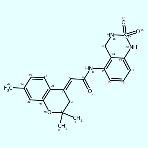 CC1(C)CC(=CC(=O)Nc2cccc3c2CNS(=O)(=O)N3)c2ccc(C(F)(F)F)cc2O1